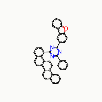 c1ccc(-c2nc(-c3ccc4oc5ccccc5c4c3)nc(-c3cccc4ccc5c6ccc7ccccc7c6ccc5c34)n2)cc1